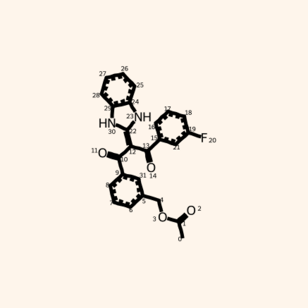 CC(=O)OCc1cccc(C(=O)C(C(=O)c2cccc(F)c2)=C2Nc3ccccc3N2)c1